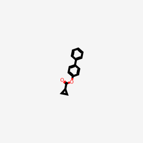 O=C(Oc1ccc(-c2ccccc2)cc1)C1CC1